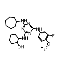 COc1ccc(Nc2nc(NC3CCCCCC3)nc(NC3CCCCC3O)n2)cc1F